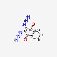 [N-]=[N+]=NC1=C(N=[N+]=[N-])C(=O)c2ccccc2C1=O